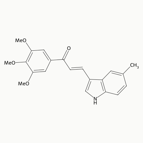 COc1cc(C(=O)C=Cc2c[nH]c3ccc(C)cc23)cc(OC)c1OC